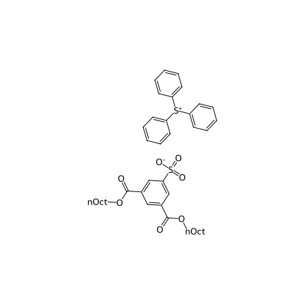 CCCCCCCCOC(=O)c1cc(C(=O)OCCCCCCCC)cc(S(=O)(=O)[O-])c1.c1ccc([S+](c2ccccc2)c2ccccc2)cc1